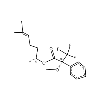 CO[C@@](C(=O)O[C@H](C)CCC=C(C)C)(c1ccccc1)C(F)(F)F